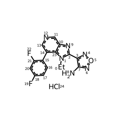 CCn1c(-c2nonc2N)nc2cncc(-c3ccc(F)cc3F)c21.Cl